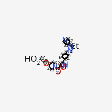 CCN(N=Cc1ccc(C2=NOC(C(=O)N3CCC(OCC(=O)O)CC3)C2)cc1)c1ccncc1